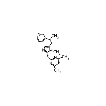 Cc1cc(C)nc(Sc2ncc(CN(C)c3cccnc3)n2C)n1